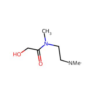 C[N]CCN(C)C(=O)CO